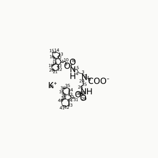 O=C([O-])CN(CCCNC(=O)OCC1c2ccccc2-c2ccccc21)CCCNC(=O)OCC1c2ccccc2-c2ccccc21.[K+]